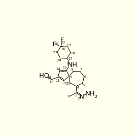 C/C(=N/N)C1CCCCC2(C=C(CO)C=C2NC2CCC(F)(F)CC2)C1